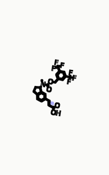 CN(C(=O)OCc1cc(C(F)(F)F)cc(C(F)(F)F)c1)C1CCc2ccc(/C=C/C(=O)O)cc21